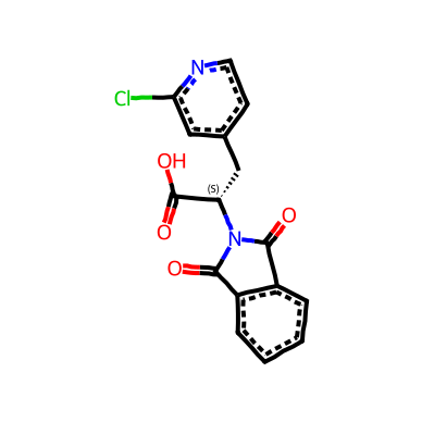 O=C(O)[C@H](Cc1ccnc(Cl)c1)N1C(=O)c2ccccc2C1=O